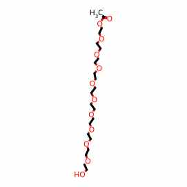 CC(=O)OCCOCCOCCOCCOCCOCCOCCOCCOCCOCCO